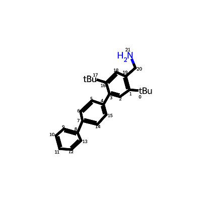 CC(C)(C)c1cc(-c2ccc(-c3ccccc3)cc2)c(C(C)(C)C)cc1CN